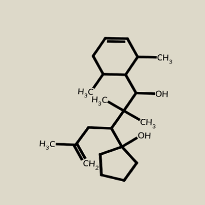 C=C(C)CC(C1(O)CCCC1)C(C)(C)C(O)C1C(C)C=CCC1C